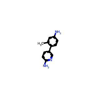 Cc1cc(N)ccc1-c1ccc(N)nc1